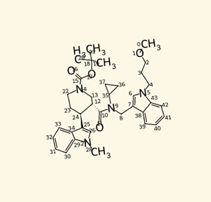 COCCCn1cc(CN(C(=O)[C@H]2CN(C(=O)OC(C)(C)C)CC[C@@H]2c2cn(C)c3ccccc23)C2CC2)c2ccccc21